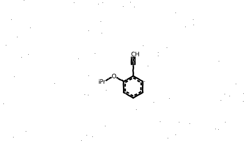 C#Cc1[c]cccc1OC(C)C